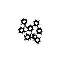 c1ccc(N2c3ccccc3B3c4c2cc(-c2ncccn2)cc4-n2c4c3nccc4c3c4ccccc4n(-c4ccccc4)c32)cc1